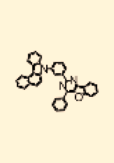 c1ccc(-c2nc(-c3cccc(-n4c5ccccc5c5c6ccccc6ccc54)c3)nc3c2oc2ccccc23)cc1